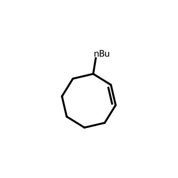 CCCCC1C=CCCCCC1